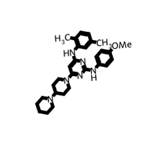 COc1ccc(Nc2nc(Nc3cc(C)ccc3C)cc(N3CCC(N4CCCCC4)CC3)n2)cc1